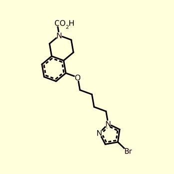 O=C(O)N1CCc2c(cccc2OCCCCn2cc(Br)cn2)C1